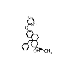 CC#CC1(O)CCC2(Cc3ccccc3)c3ccc(OC4=[N+]C=CN=C4)cc3CCC2C1